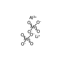 [Al+3].[Li+].[O]=[Mn](=[O])([O-])[O-].[O]=[Mn](=[O])([O-])[O-]